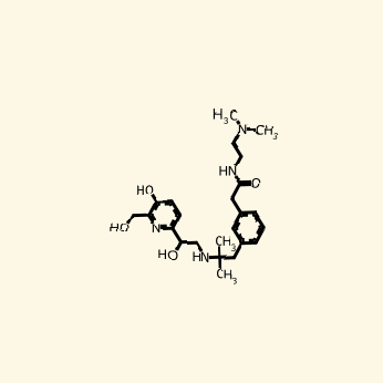 CN(C)CCNC(=O)Cc1cccc(CC(C)(C)NCC(O)c2ccc(O)c(CO)n2)c1